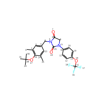 Cc1cc(CN2C(=O)CN(c3ccc(OC(F)(F)F)cc3)C2=O)cc(C)c1OC(C)(C)C